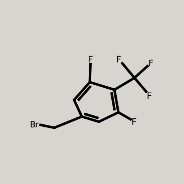 Fc1cc(CBr)cc(F)c1C(F)(F)F